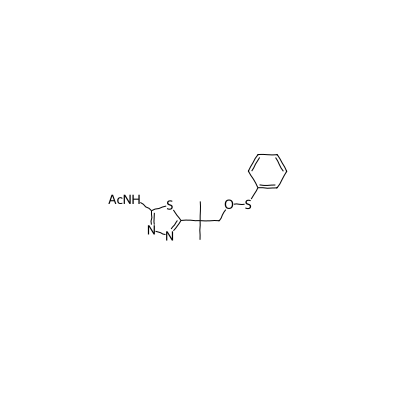 CC(=O)Nc1nnc(C(C)(C)COSc2ccccc2)s1